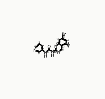 O=C(Nc1cccnc1)Nc1ncc2c(F)cc(Br)cc2n1